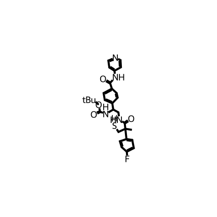 CC(C)(C)OC(=O)NC(CNC(=O)C(C)(CS)c1ccc(F)cc1)c1ccc(C(=O)Nc2ccncc2)cc1